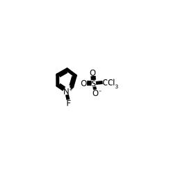 F[n+]1ccccc1.O=S(=O)([O-])C(Cl)(Cl)Cl